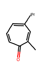 Cc1cc(C(C)C)cccc1=O